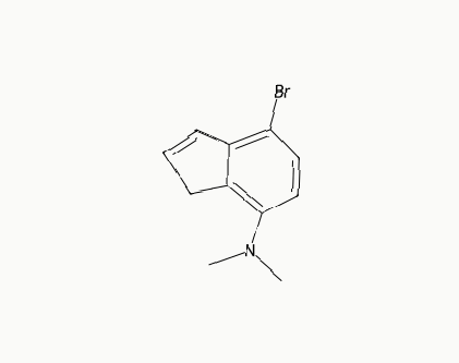 CN(C)c1ccc(Br)c2c1CC=C2